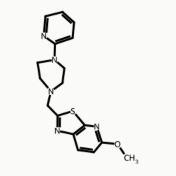 COc1ccc2nc(CN3CCN(c4ccccn4)CC3)sc2n1